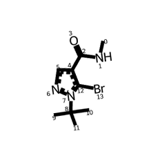 CNC(=O)c1cnn(C(C)(C)C)c1Br